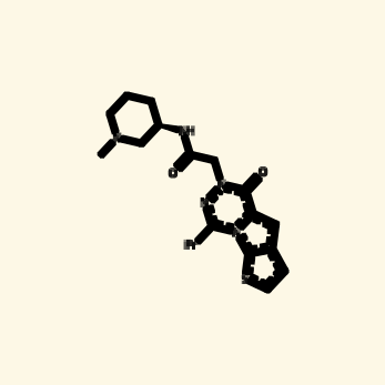 CC(C)c1nn(CC(=O)N[C@@H]2CCCN(C)C2)c(=O)c2cc3ccsc3n12